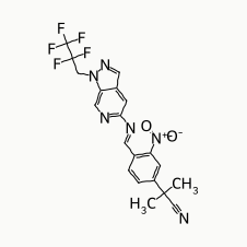 CC(C)(C#N)c1ccc(/C=N/c2cc3cnn(CC(F)(F)C(F)(F)F)c3cn2)c([N+](=O)[O-])c1